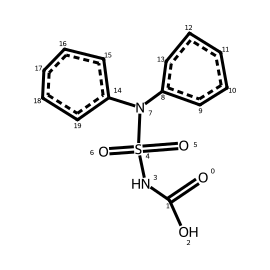 O=C(O)NS(=O)(=O)N(c1ccccc1)c1ccccc1